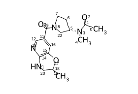 CC(=O)N(C)[C@H]1CCN(C(=O)c2cnc3c(c2)O[C@@H](C)CN3)C1